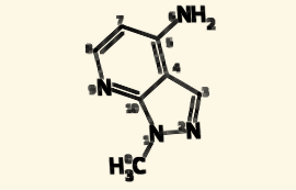 Cn1ncc2c(N)ccnc21